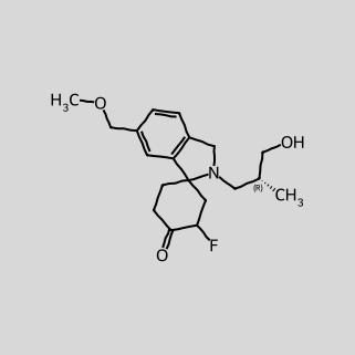 COCc1ccc2c(c1)C1(CCC(=O)C(F)C1)N(C[C@@H](C)CO)C2